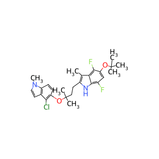 Cc1c(CCC(C)(C)Oc2ccc3c(ccn3C)c2Cl)[nH]c2c(F)cc(OC(C)(C)C)c(F)c12